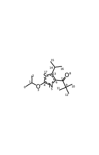 CC(C)Oc1nc(C(=O)C(C)(C)C)c(C(C)C)s1